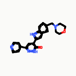 O=c1[nH]nc(-c2ccncc2)cc1-c1cc2cc(CN3CCOCC3)ccc2[nH]1